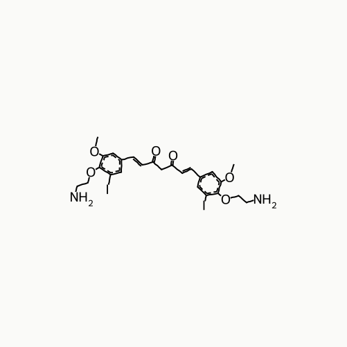 COc1cc(/C=C/C(=O)CC(=O)/C=C/c2cc(I)c(OCCN)c(OC)c2)cc(I)c1OCCN